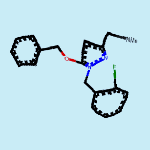 CNCc1cc(OCc2ccccc2)n(Cc2ccccc2F)n1